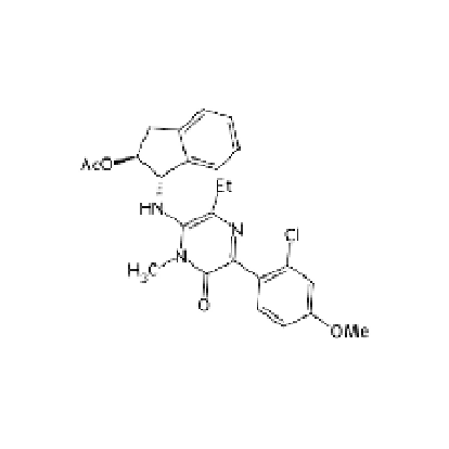 CCc1nc(-c2ccc(OC)cc2Cl)c(=O)n(C)c1N[C@H]1c2ccccc2C[C@@H]1OC(C)=O